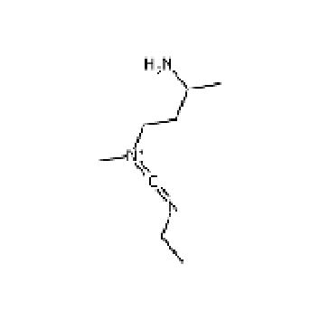 CCN=C=[N+](C)CCC(C)N